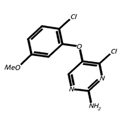 COc1ccc(Cl)c(Oc2cnc(N)nc2Cl)c1